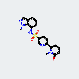 Cn1c(-c2ccc(S(=O)(=O)Nc3cccc4cnn(C)c34)cn2)cccc1=O